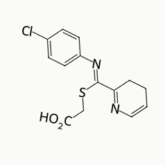 O=C(O)CSC(=Nc1ccc(Cl)cc1)C1=NC=CCC1